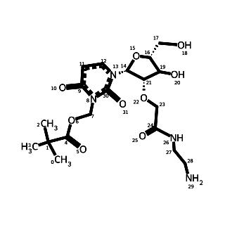 CC(C)(C)C(=O)OCn1c(=O)ccn([C@@H]2O[C@H](CO)C(O)[C@@H]2OCC(=O)NCCN)c1=O